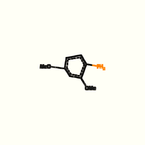 COc1ccc(P)c(OC)c1